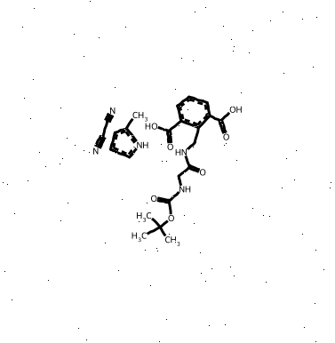 CC(C)(C)OC(=O)NCC(=O)NCc1c(C(=O)O)cccc1C(=O)O.Cc1ccc[nH]1.N#CC#N